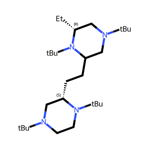 CC[C@@H]1CN(C(C)(C)C)CC(CC[C@H]2CN(C(C)(C)C)CCN2C(C)(C)C)N1C(C)(C)C